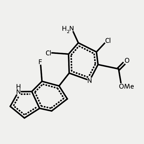 COC(=O)c1nc(-c2ccc3cc[nH]c3c2F)c(Cl)c(N)c1Cl